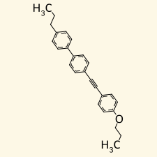 CCCOc1ccc(C#Cc2ccc(-c3ccc(CCC)cc3)cc2)cc1